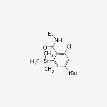 CCNC(=O)c1c(Cl)cc(C(C)(C)C)cc1[Si](C)(C)C